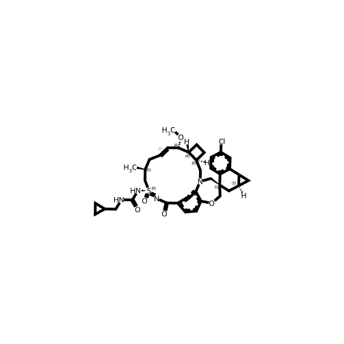 CO[C@H]1/C=C/C[C@H](C)C[S@@](=O)(NC(=O)NCC2CC2)=NC(=O)c2ccc3c(c2)N(C[C@@H]2CC[C@H]21)C[C@]1(CO3)C[C@@H]2CC2c2cc(Cl)ccc21